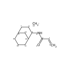 C=CC(=O)NC1CCC2CCCC1C2.[CH2]